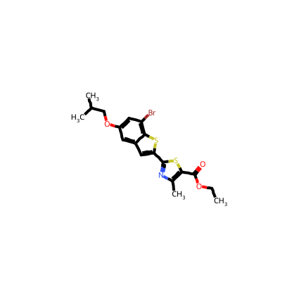 CCOC(=O)c1sc(-c2cc3cc(OCC(C)C)cc(Br)c3s2)nc1C